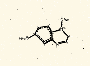 COc1ccc2c(c1)N=CCN2OC